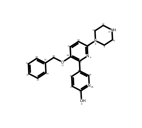 Oc1ccc(-c2nc(N3CCNCC3)ccc2OCc2ccccc2)cn1